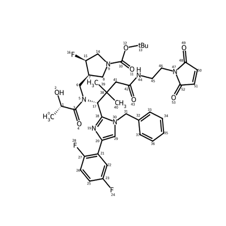 C[C@H](O)C(=O)N(C[C@@H]1CN(C(=O)OC(C)(C)C)C[C@@H]1F)[C@@H](c1nc(-c2cc(F)ccc2F)cn1Cc1ccccc1)C(C)(C)CC(=O)NCCN1C(=O)C=CC1=O